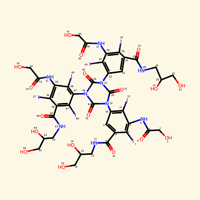 O=C(CO)Nc1c(I)c(C(=O)NCC(O)CO)cc(-n2c(=O)n(-c3cc(C(=O)NCC(O)CO)c(I)c(NC(=O)CO)c3I)c(=O)n(-c3c(I)c(NC(=O)CO)c(I)c(C(=O)NCC(O)CO)c3I)c2=O)c1I